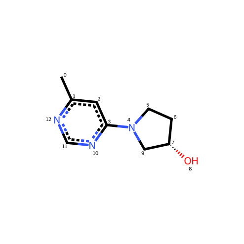 Cc1cc(N2CC[C@H](O)C2)ncn1